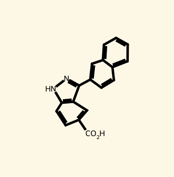 O=C(O)c1ccc2[nH]nc(-c3ccc4ccccc4c3)c2c1